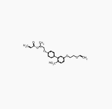 C=COCCOc1ccc(C(=O)O)c(-c2ccc(OC[C@H](C)OC(=O)C=C)cc2)c1